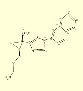 NCCC[C@H]1C[C@]1(C(=O)O)c1cn(-c2ccc3ccccc3c2)cn1